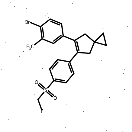 O=S(=O)(CF)c1ccc(C2=C(c3ccc(Br)c(C(F)(F)F)c3)CC3(CC3)C2)cc1